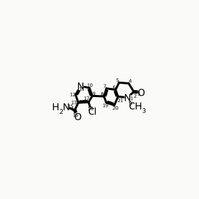 CN1C(=O)CCc2cc(-c3cncc(C(N)=O)c3Cl)ccc21